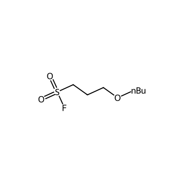 CCCCOCCCS(=O)(=O)F